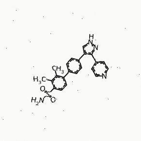 Cc1c(-c2ccc(-c3c[nH]nc3-c3ccncc3)cc2)ccc(S(N)(=O)=O)c1C